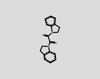 O=C(C(=O)N1CCc2ccccc21)N1CCc2ccccc21